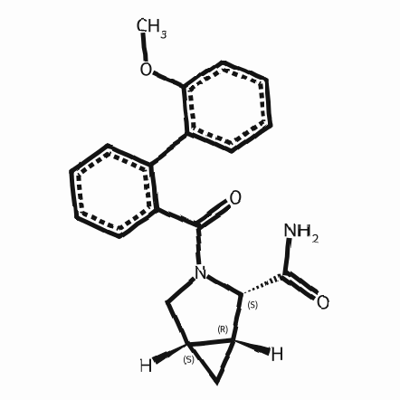 COc1ccccc1-c1ccccc1C(=O)N1C[C@H]2C[C@H]2[C@H]1C(N)=O